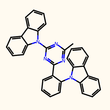 Cc1nc(-c2ccccc2-n2c3ccccc3c3ccccc32)nc(-n2c3ccccc3c3ccccc32)n1